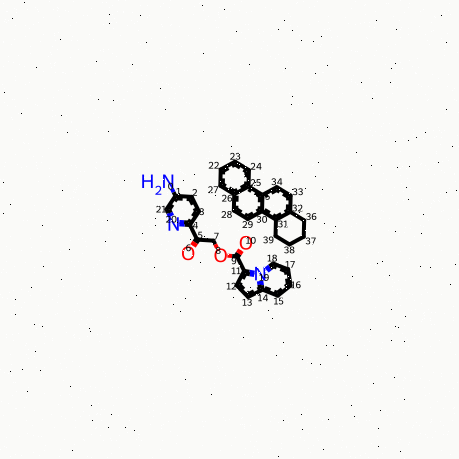 Nc1ccc(C(=O)COC(=O)c2ccc3ccccn23)nc1.c1ccc2c(c1)ccc1c3c(ccc12)CCCC3